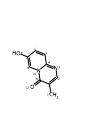 Cc1cnc2ccc(O)cn2c1=O